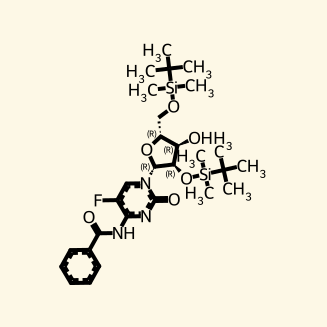 CC(C)(C)[Si](C)(C)OC[C@H]1O[C@@H](n2cc(F)c(NC(=O)c3ccccc3)nc2=O)[C@H](O[Si](C)(C)C(C)(C)C)[C@@H]1O